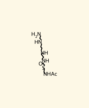 CC(=O)NCCSCC(=O)NCCCNCCCCNCCCN